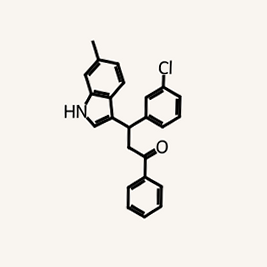 Cc1ccc2c(C(CC(=O)c3ccccc3)c3cccc(Cl)c3)c[nH]c2c1